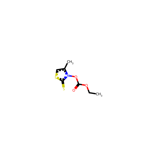 CCOC(=O)On1c(C)csc1=S